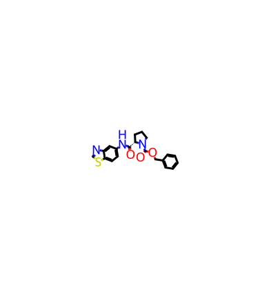 O=C(Nc1ccc2scnc2c1)[C@@H]1CCCN1C(=O)OCc1ccccc1